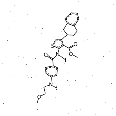 COCCN(I)c1ccc(C(=O)N(I)c2scc(C3CCc4ccccc4C3)c2C(=O)OC)cc1